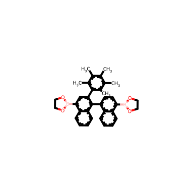 Cc1c(C)c(C)c(-c2cc(B3OCCO3)c3ccccc3c2-c2ccc(B3OCCO3)c3ccccc23)c(C)c1C